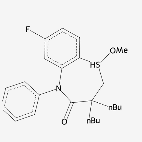 CCCCC1(CCCC)C[SH](OC)c2ccc(F)cc2N(c2ccccc2)C1=O